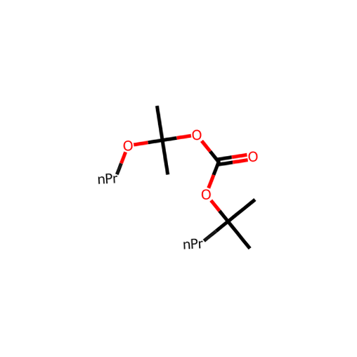 CCCOC(C)(C)OC(=O)OC(C)(C)CCC